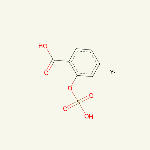 O=C(O)c1ccccc1OS(=O)(=O)O.[Y]